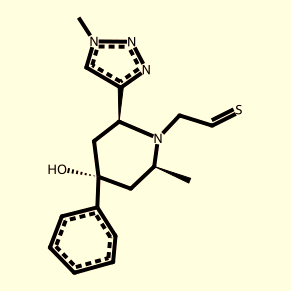 C[C@H]1C[C@@](O)(c2ccccc2)C[C@@H](c2cn(C)nn2)N1CC=S